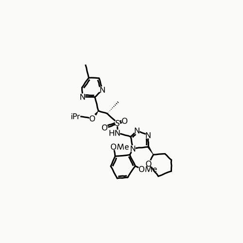 COc1cccc(OC)c1-n1c(NS(=O)(=O)[C@@H](C)[C@@H](OC(C)C)c2ncc(C)cn2)nnc1[C@H]1CCCCO1